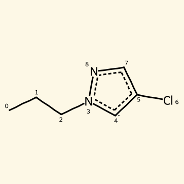 CCCn1[c]c(Cl)cn1